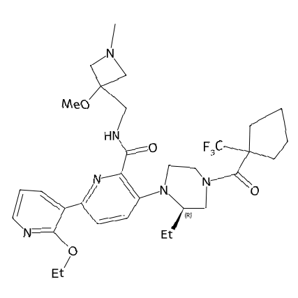 CCOc1ncccc1-c1ccc(N2CCN(C(=O)C3(C(F)(F)F)CCCC3)C[C@H]2CC)c(C(=O)NCC2(OC)CN(C)C2)n1